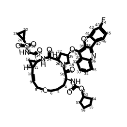 O=C(N[C@H]1CCCCC/C=C\[C@@H]2C[C@@]2(C(=O)NS(=O)(=O)C2CC2)NC(=O)[C@@H]2C[C@@H](Oc3c4ccccc4nc4c3oc3cc(F)ccc34)CN2C1=O)OC1CCCC1